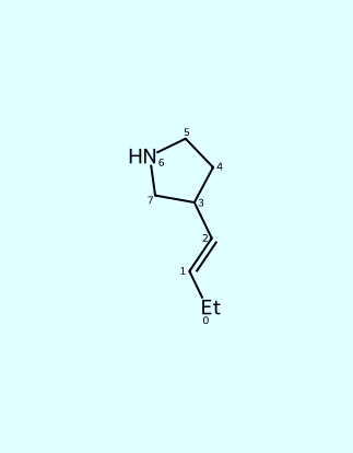 [CH2]CC=CC1CCNC1